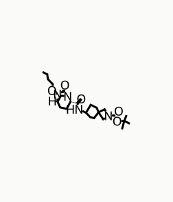 CCCCON1C(=O)N2C[C@H]1CC[C@H]2C(=O)NC1CCC2(CC1)CN(C(=O)OC(C)(C)C)C2